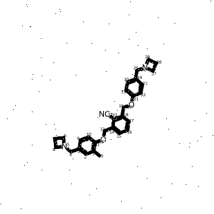 Cc1cc(CN2CCC2)ccc1OCc1cccc(COc2ccc(CN3CCC3)cc2)c1C#N